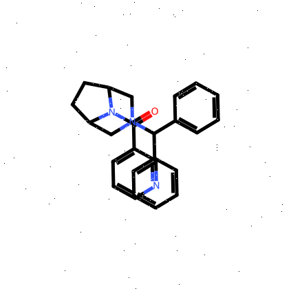 O=C(c1cccnc1)N1C2CCC1CN(C(c1ccccc1)c1ccccc1)C2